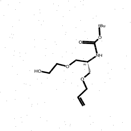 C=CCOC[C@H](COCCO)NC(=O)OC(C)(C)C